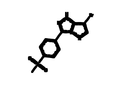 CS(=O)(=O)c1ccc(-c2n[nH]c3c(Br)cnn23)cc1